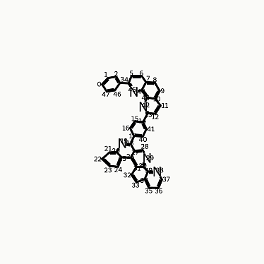 c1ccc(-c2ccc3ccc4ccc(-c5ccc(-c6nc7ccccc7c7c6cnc6c7ccc7cccnc76)cc5)nc4c3n2)cc1